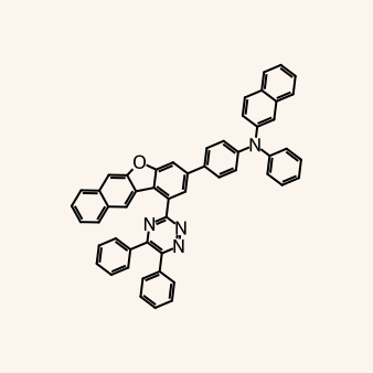 c1ccc(-c2nnc(-c3cc(-c4ccc(N(c5ccccc5)c5ccc6ccccc6c5)cc4)cc4oc5cc6ccccc6cc5c34)nc2-c2ccccc2)cc1